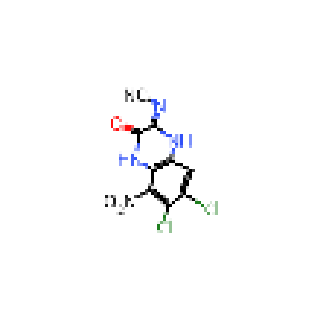 N#C/N=c1/[nH]c2cc(Cl)c(Cl)c([N+](=O)[O-])c2[nH]c1=O